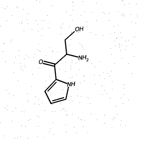 NC(CO)C(=O)c1ccc[nH]1